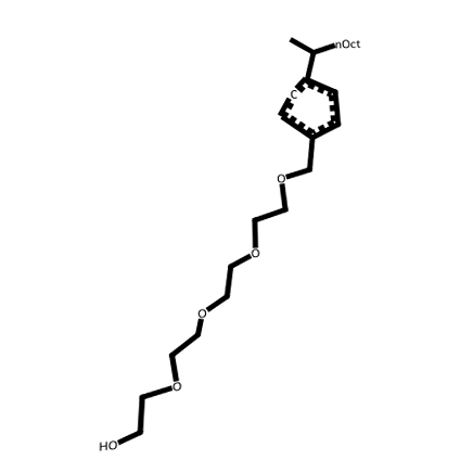 CCCCCCCCC(C)c1ccc(COCCOCCOCCOCCO)cc1